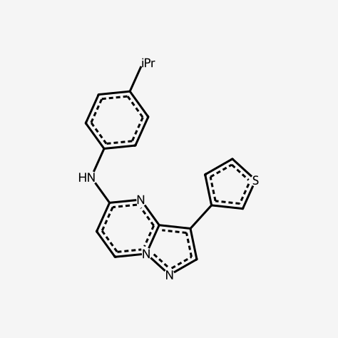 CC(C)c1ccc(Nc2ccn3ncc(-c4ccsc4)c3n2)cc1